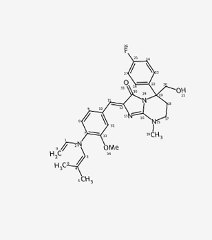 C=CN(C=C(C)C)c1ccc(/C=C2\N=C3N(C)CCC(CO)(c4ccc(F)cc4)N3C2=O)cc1OC